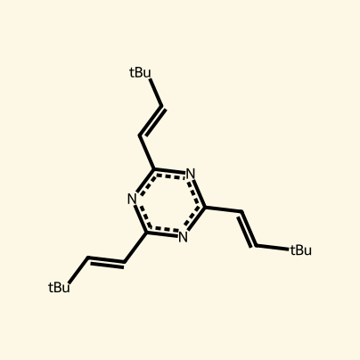 CC(C)(C)C=Cc1nc(C=CC(C)(C)C)nc(C=CC(C)(C)C)n1